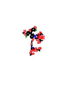 CC(=O)OCOC(=O)CN(CCOCCOc1ccc(-c2c3cc(F)c(=O)cc-3oc3cc(OC(C)=O)c(F)cc23)cc1N(CC(=O)OC(O)C(C)=O)CC(=O)OC(O)C(C)=O)CC(=O)OC(O)C(C)=O